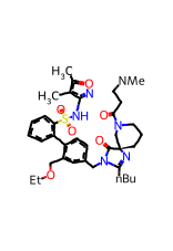 CCCCC1=N[C@]2(CCCN(C(=O)CCNC)C2)C(=O)N1Cc1ccc(-c2ccccc2S(=O)(=O)Nc2noc(C)c2C)c(COCC)c1